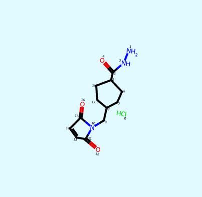 Cl.NNC(=O)C1CCC(CN2C(=O)C=CC2=O)CC1